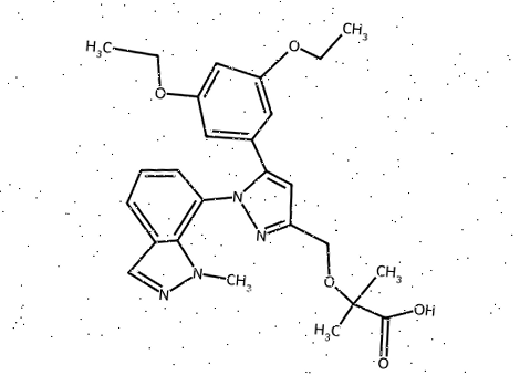 CCOc1cc(OCC)cc(-c2cc(COC(C)(C)C(=O)O)nn2-c2cccc3cnn(C)c23)c1